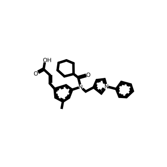 Cc1cc(C=CC(=O)O)cc(N(Cc2ccn(-c3ccccc3)c2)C(=O)C2CCCCC2)c1